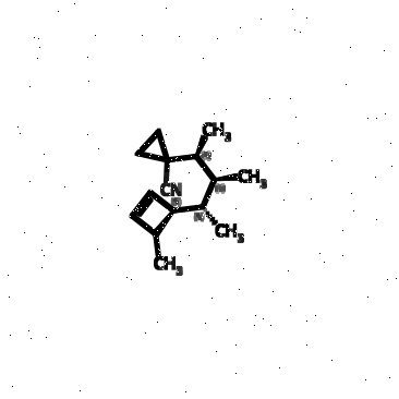 CC1C=C[C@H]1[C@@H](C)[C@H](C)[C@H](C)C1(C#N)CC1